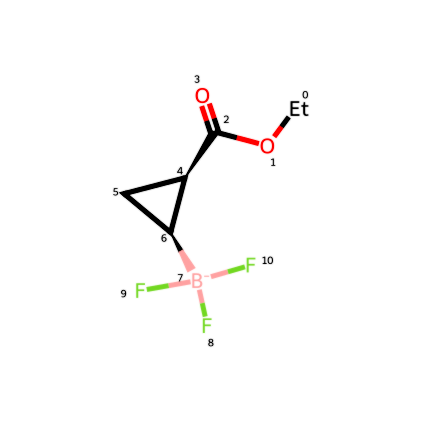 CCOC(=O)[C@@H]1C[C@@H]1[B-](F)(F)F